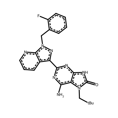 CC(C)(C)Cn1c(=O)[nH]c2nc(-c3nn(Cc4ccccc4F)c4ncccc34)nc(N)c21